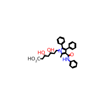 Cc1c(C(=O)Nc2ccccc2)c(-c2ccccc2)c(-c2ccccc2)n1CC[C@@H](O)C[C@@H](O)CC(=O)O